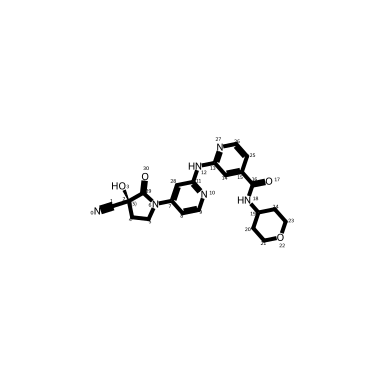 N#C[C@@]1(O)CCN(c2ccnc(Nc3cc(C(=O)NC4CCOCC4)ccn3)c2)C1=O